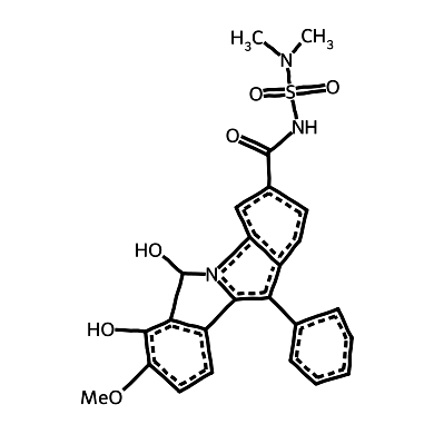 COc1ccc2c(c1O)C(O)n1c-2c(-c2ccccc2)c2ccc(C(=O)NS(=O)(=O)N(C)C)cc21